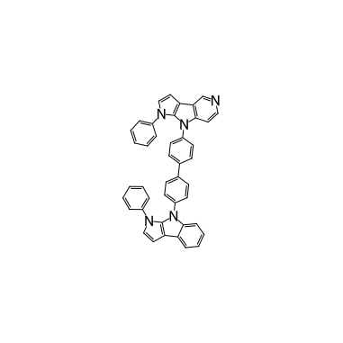 c1ccc(-n2ccc3c4ccccc4n(-c4ccc(-c5ccc(-n6c7ccncc7c7ccn(-c8ccccc8)c76)cc5)cc4)c32)cc1